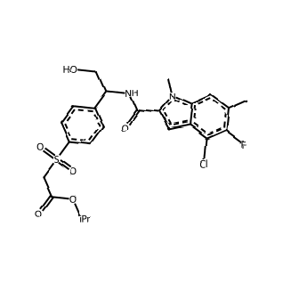 Cc1cc2c(cc(C(=O)NC(CO)c3ccc(S(=O)(=O)CC(=O)OC(C)C)cc3)n2C)c(Cl)c1F